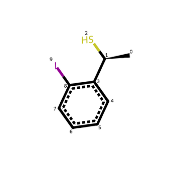 C[C@H](S)c1ccccc1I